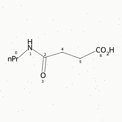 CCCNC(=O)CCC(=O)O